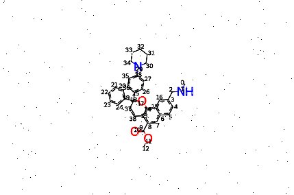 CNCc1ccc2cc(C(=O)OC)c3c(c2c1)OC(c1ccccc1)(c1ccc(N2CCCCC2)cc1)C=C3